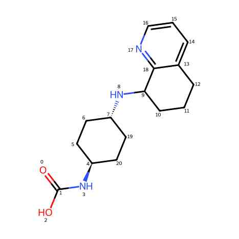 O=C(O)N[C@H]1CC[C@H](NC2CCCc3cccnc32)CC1